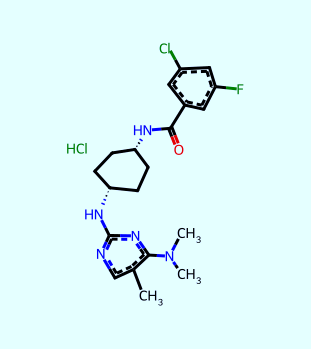 Cc1cnc(N[C@H]2CC[C@@H](NC(=O)c3cc(F)cc(Cl)c3)CC2)nc1N(C)C.Cl